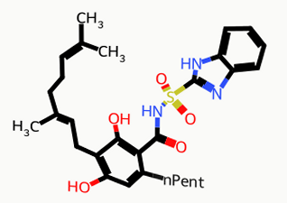 CCCCCc1cc(O)c(C/C=C(\C)CCC=C(C)C)c(O)c1C(=O)NS(=O)(=O)c1nc2ccccc2[nH]1